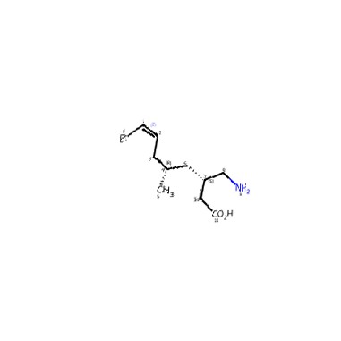 CC/C=C\C[C@@H](C)C[C@H](CN)CC(=O)O